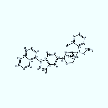 NC[C@]1(c2ccccc2F)[C@@H]2CCN(c3cnc4c(-c5ccnc6cnccc56)n[nH]c4n3)C[C@@H]21